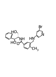 Cc1ccc(C(=O)N[C@@H](CO)[C@@H](O)c2ccccc2)cc1CNc1cncc(Br)c1